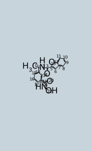 C[C@@H](NC(=O)c1cc2ccccc2o1)c1cccc(C(=O)NO)c1